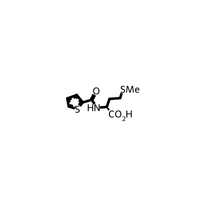 CSCC[C@H](NC(=O)c1cccs1)C(=O)O